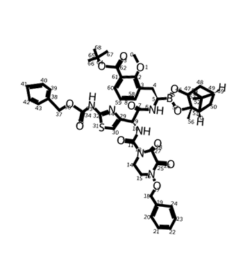 COc1c(C[C@H](NC(=O)[C@H](NC(=O)N2CCN(OCc3ccccc3)C(=O)C2=O)c2csc(NC(=O)OCc3ccccc3)n2)B2OC3C[C@H]4C[C@@H](C4(C)C)[C@]3(C)O2)cccc1C(=O)OC(C)(C)C